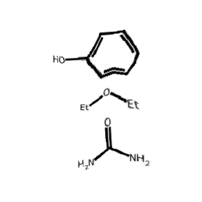 CCOCC.NC(N)=O.Oc1ccccc1